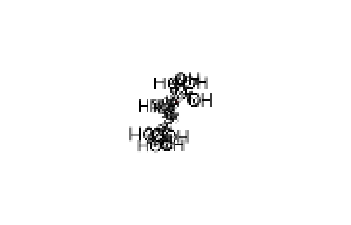 OCC[C@H]1O[C@H](Cc2ccc3c(c2)C2(CCNCC2)c2cc(C#C[C@H]4O[C@H](CO)[C@@H](O)[C@H](O)[C@@H]4O)ccc2-3)[C@@H](O)[C@@H](O)[C@@H]1O